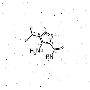 C=C(N)c1scc(C(C)C)c1N